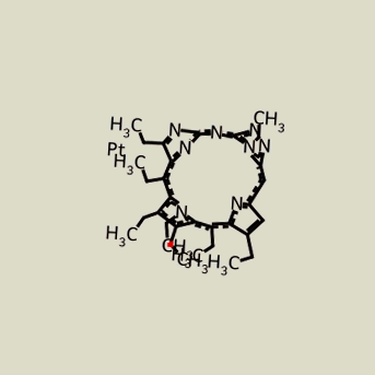 CCC1=Cc2cc3nnc(nc4nc(c(CC)c5c(CC)c(CC)c(c(CC)c1n2)n5CC)C(CC)=N4)n3CC.[Pt]